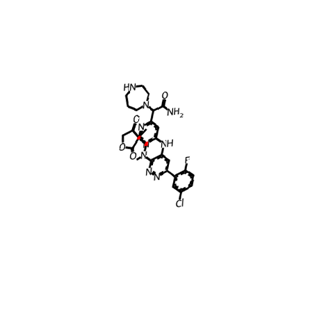 CN(CC1(C)C(=O)COC1=O)c1nnc(-c2cc(Cl)ccc2F)cc1Nc1cc(C(C(N)=O)N2CCCNCC2)ncn1